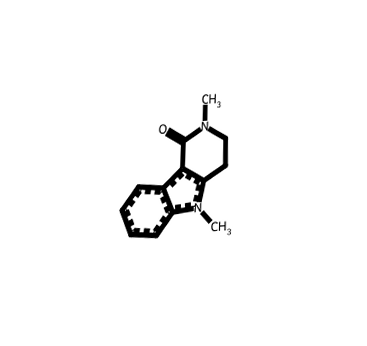 CN1CCc2c(c3ccccc3n2C)C1=O